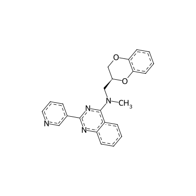 CN(C[C@H]1COc2ccccc2O1)c1nc(-c2cccnc2)nc2ccccc12